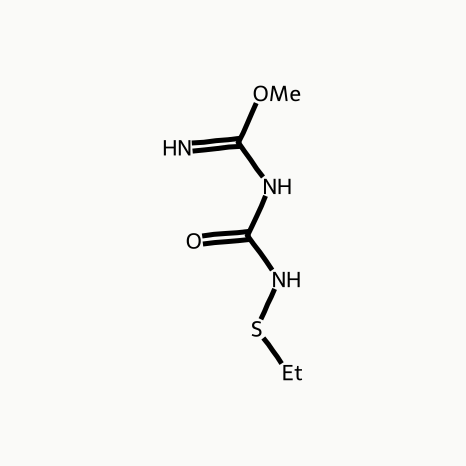 CCSNC(=O)NC(=N)OC